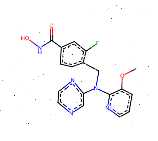 COc1cccnc1N(Cc1ccc(C(=O)NO)cc1F)c1cnccn1